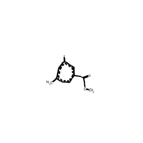 [CH2]c1cc(I)cc(C(=O)OC)c1